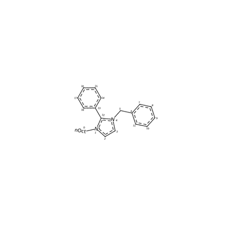 CCCCCCCC[n+]1ccn(Cc2ccccc2)c1-c1ccccc1